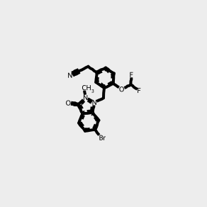 Cn1c(=O)c2ccc(Br)cc2n1Cc1cc(CC#N)ccc1OC(F)F